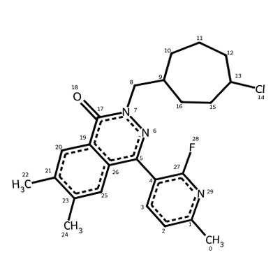 Cc1ccc(-c2nn(CC3CCCC(Cl)CC3)c(=O)c3cc(C)c(C)cc23)c(F)n1